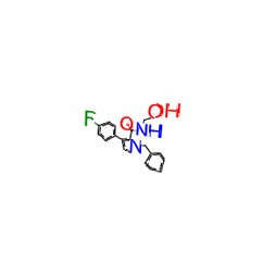 O=C(NCCO)c1c(-c2ccc(F)cc2)ccn1Cc1ccccc1